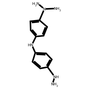 NNc1ccc(Nc2ccc(N(N)N)cc2)cc1